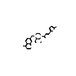 CC[C@H]1C(C=O)N(Cc2ccc3c(N)ccnc3c2)CCN1C(=O)C=Cc1ccc(Cl)s1